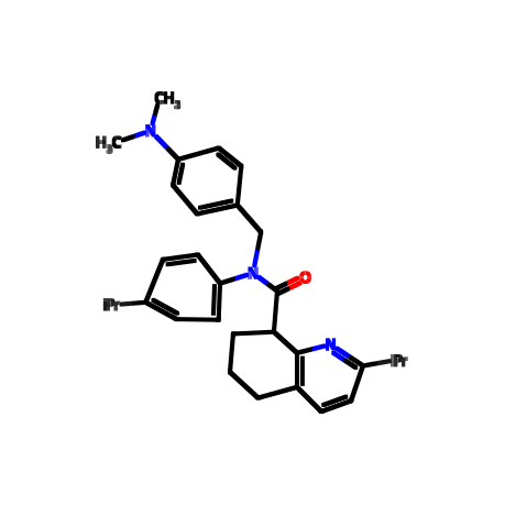 CC(C)c1ccc(N(Cc2ccc(N(C)C)cc2)C(=O)C2CCCc3ccc(C(C)C)nc32)cc1